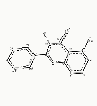 CC(=O)c1cccc2oc(-c3ccccc3)c(C)c(=O)c12